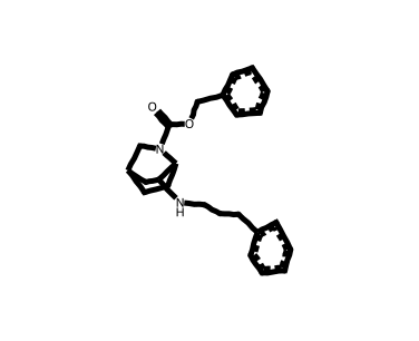 O=C(OCc1ccccc1)N1CC2CCC1C(NCCCc1ccccc1)C2